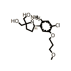 COCCCOc1cc([C@H]2CCC(CO)(CO)N2N)c(Br)cc1Cl